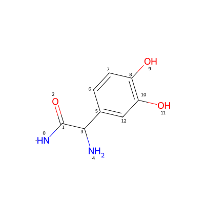 [NH]C(=O)C(N)c1ccc(O)c(O)c1